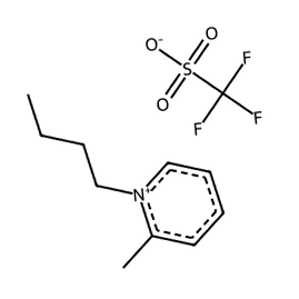 CCCC[n+]1ccccc1C.O=S(=O)([O-])C(F)(F)F